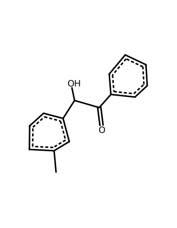 Cc1cccc(C(O)C(=O)c2ccccc2)c1